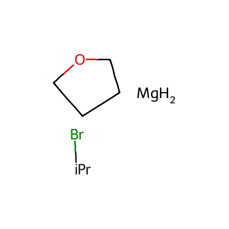 C1CCOC1.CC(C)Br.[MgH2]